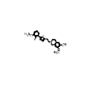 COc1cc2c(cc1O)CCN(CCc1ccc(-c3cccc(OC)c3F)s1)C2